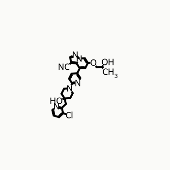 CC(O)COc1cc(-c2ccc(N3CCC(O)(Cc4ncccc4Cl)CC3)nc2)c2c(C#N)cnn2c1